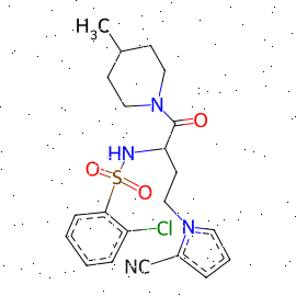 CC1CCN(C(=O)C(CCn2cccc2C#N)NS(=O)(=O)c2ccccc2Cl)CC1